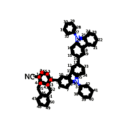 N#Cc1ccc(-c2ccc3c(c2)c2cc(-c4ccc5c(c4)c4ccccc4n5-c4ccccc4)ccc2n3-c2ccccc2)c2c1C1c3ccccc3C2c2ccccc21